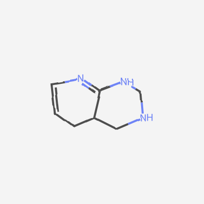 C1=CN=C2NCNCC2C1